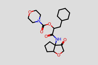 O=C(NC12CCCC1OCC2=O)C(CC1CCCCC1)OC(=O)N1CCOCC1